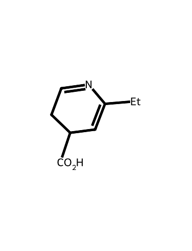 CCC1=CC(C(=O)O)CC=N1